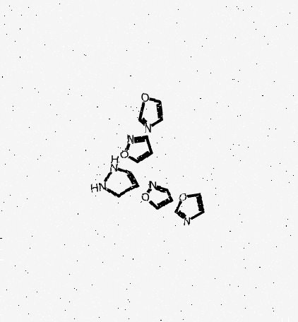 C1=CNNC1.c1cnoc1.c1cnoc1.c1cocn1.c1cocn1